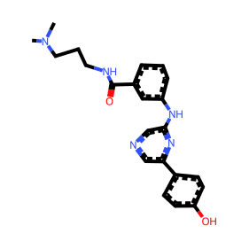 CN(C)CCCNC(=O)c1cccc(Nc2cncc(-c3ccc(O)cc3)n2)c1